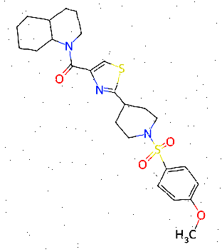 COc1ccc(S(=O)(=O)N2CCC(c3nc(C(=O)N4CCCC5CCCCC54)cs3)CC2)cc1